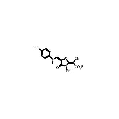 CCCCn1c(=C(C#N)C(=O)OCC)sc(=CN(C)c2ccc(O)cc2)c1=O